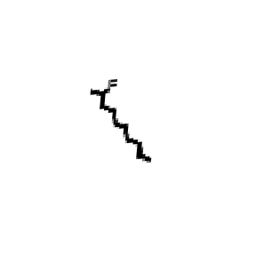 CC=CCCCCCC(C)F